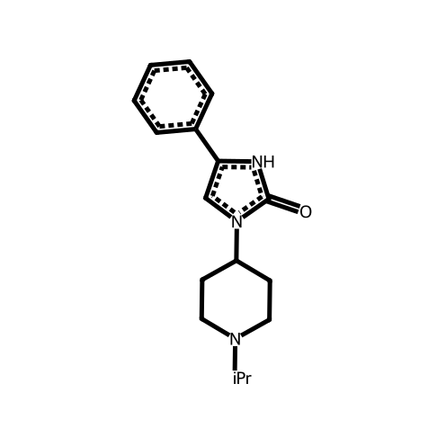 CC(C)N1CCC(n2cc(-c3ccccc3)[nH]c2=O)CC1